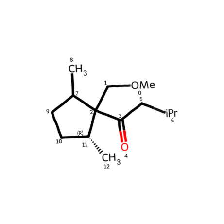 COCC1(C(=O)CC(C)C)C(C)CC[C@H]1C